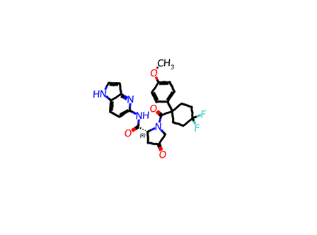 COc1ccc(C2(C(=O)N3CC(=O)C[C@@H]3C(=O)Nc3ccc4[nH]ccc4n3)CCC(F)(F)CC2)cc1